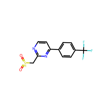 O=[SH](=O)Cc1nccc(-c2ccc(C(F)(F)F)cc2)n1